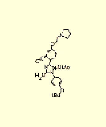 CNN1C(C2C=CC(OCCN3CCCC3)=CC2=C=O)N=C(N)N1c1ccc(OC(C)(C)C)cc1